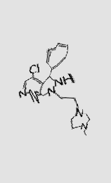 CN1CCN(CCN2NC(c3ccccc3)c3c(Cl)cnnc32)CC1